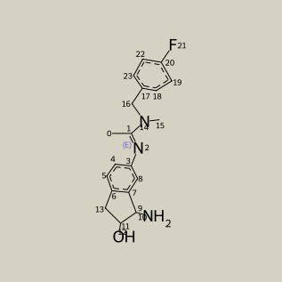 C/C(=N\c1ccc2c(c1)C(N)C(O)C2)N(C)Cc1ccc(F)cc1